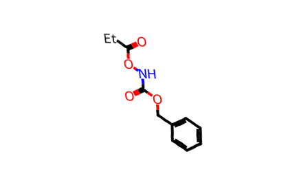 CCC(=O)ONC(=O)OCc1ccccc1